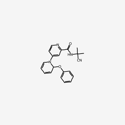 CC(C)(C#N)NC(=O)c1cc(N2C=CC=CC2Oc2ccccc2)ccn1